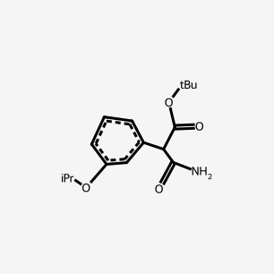 CC(C)Oc1cccc(C(C(N)=O)C(=O)OC(C)(C)C)c1